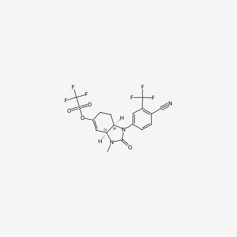 CN1C(=O)N(c2ccc(C#N)c(C(F)(F)F)c2)[C@@H]2CCC(OS(=O)(=O)C(F)(F)F)=C[C@@H]21